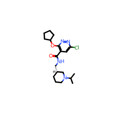 CC(C)N1CCC[C@H](CNC(=O)c2cc(Cl)nnc2OC2CCCC2)C1